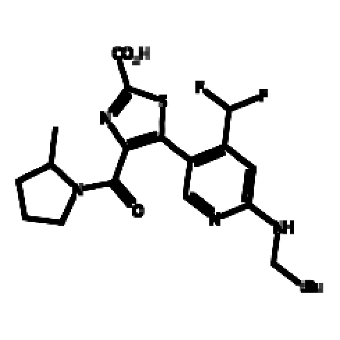 CC1CCCN1C(=O)c1nc(C(=O)O)sc1-c1cnc(NCC(C)(C)C)cc1C(F)F